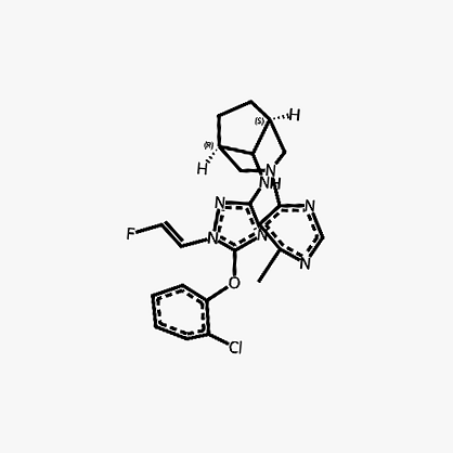 Cc1cc(N2C[C@H]3CC[C@@H](C2)C3Nc2nc(Oc3ccccc3Cl)n(C=CF)n2)ncn1